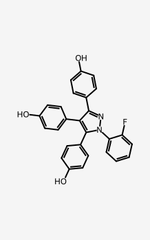 Oc1ccc(-c2nn(-c3ccccc3F)c(-c3ccc(O)cc3)c2-c2ccc(O)cc2)cc1